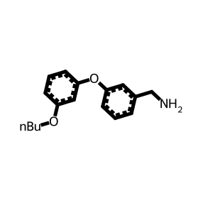 CCCCOc1cccc(Oc2cccc(CN)c2)c1